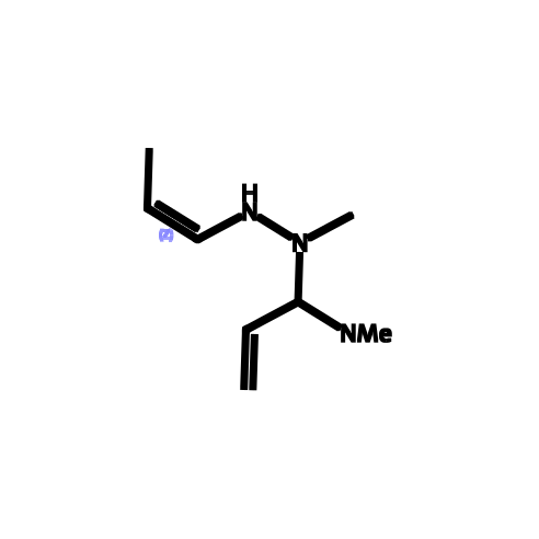 C=CC(NC)N(C)N/C=C\C